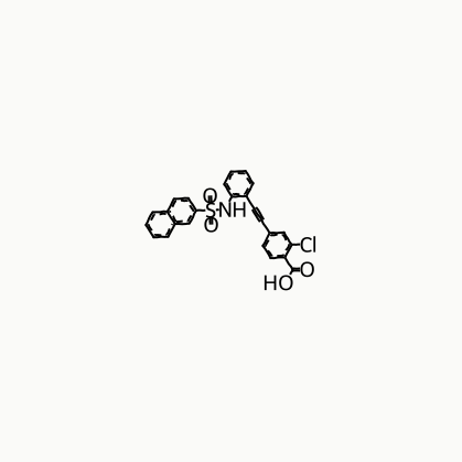 O=C(O)c1ccc(C#Cc2ccccc2NS(=O)(=O)c2ccc3ccccc3c2)cc1Cl